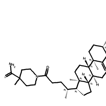 C[C@H](CCC(=O)N1CCC(C)(C(N)=O)CC1)[C@H]1CC[C@H]2[C@@H]3CC=C4C[C@@H](O)CC[C@]4(C)[C@H]3CC[C@]12C